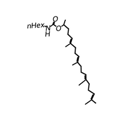 CCCCCCNC(=O)OC(C)CC/C=C(\C)CC/C=C(\C)CC/C=C(\C)CCC=C(C)C